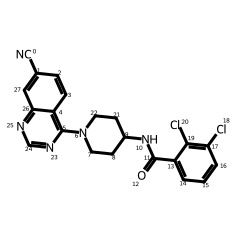 N#Cc1ccc2c(N3CCC(NC(=O)c4cccc(Cl)c4Cl)CC3)ncnc2c1